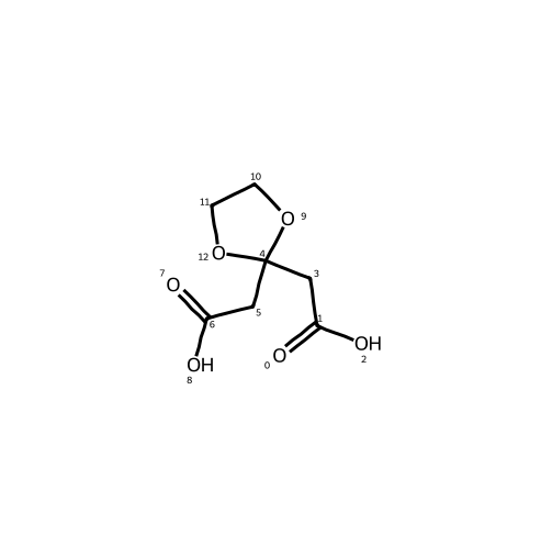 O=C(O)CC1(CC(=O)O)OCCO1